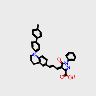 Cc1ccc(-c2ccc(N3CCCc4cc(/C=C/C=C5\C(=O)N(c6ccccc6)N=C5C(=O)O)ccc43)cc2)cc1